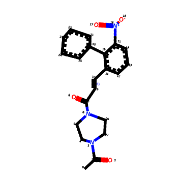 CC(=O)N1CCN(C(=O)/C=C/c2cc[c]c([N+](=O)[O-])c2-c2ccccc2)CC1